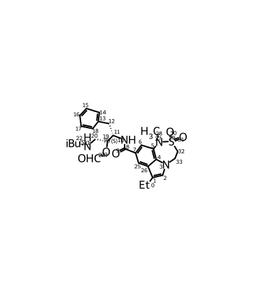 CCc1cn2c3c(cc(C(=O)N[C@@H](Cc4ccccc4)[C@@H](CN[C@@H](C)CC)OC=O)cc13)N(C)S(=O)(=O)CC2